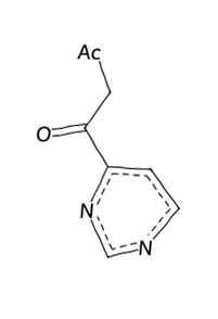 CC(=O)CC(=O)c1ccncn1